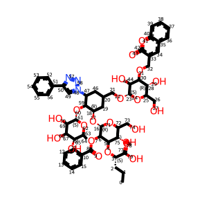 CCC[C@H](OC1C(OC(=O)c2ccccc2)[C@H](O[C@@H]2CC(CO[C@H]3OC(CO)[C@@H](O)C(OCc4cc5ccccc5oc4=O)C3O)CC(n3cc(-c4ccccc4)nn3)C2O[C@@H]2OC(C)[C@@H](O)C(O)C2O)OC(CO)[C@@H]1O)C(=O)O